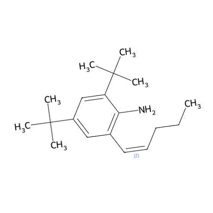 CCC/C=C\c1cc(C(C)(C)C)cc(C(C)(C)C)c1N